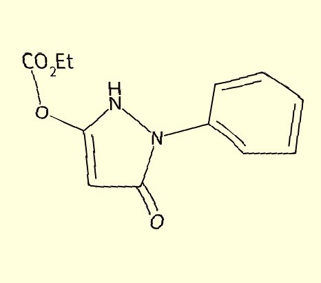 CCOC(=O)Oc1cc(=O)n(-c2ccccc2)[nH]1